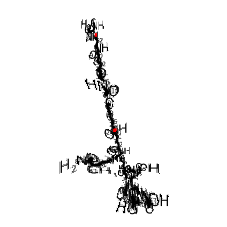 CN[C@@H](CCCCNC(=O)COCCOCCNC(=O)COCCOCCNC(=O)CCCC(=O)N[C@@H](CCCCNC(=O)CC[C@@H](C(=O)O)N(CCN(CC(=O)O)CC(=O)O)CCN(CC(=O)O)CC(=O)O)C(=O)NCCCC[C@H](C)C(N)=O)C(N)=O